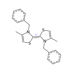 CC1=CS/C(=C2/SC=C(C)N2Cc2ccccc2)N1Cc1ccccc1